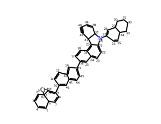 C[C@]12C=CC=CC1C=CC(c1ccc3cc(-c4ccc5c6c(ccc5c4)N(C4=CC5CCCCC5C=C4)C4C=CC#CC64)ccc3c1)=C2